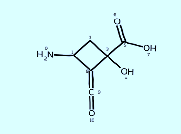 NC1CC(O)(C(=O)O)C1=C=O